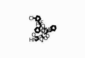 COC(=O)[C@H](C[C@@H]1CCNC1=O)NC(=O)[C@H](Cc1ccccc1)NC(=O)OC(c1ccccc1)C(F)(F)c1cccc(Cl)c1